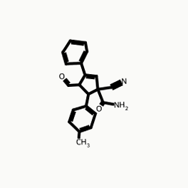 Cc1ccc(C2C(C=O)C(c3ccccc3)=CC2(C#N)C(N)=O)cc1